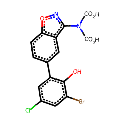 O=C(O)N(C(=O)O)c1noc2ccc(-c3cc(Cl)cc(Br)c3O)cc12